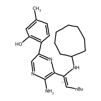 CCCC/C=C(\NC1CCCCCCC1)c1nc(-c2ccc(C)cc2O)cnc1N